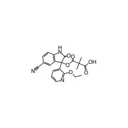 CCOc1ncccc1C1(OC(=O)C(C)(C)C(=O)O)C(=O)Nc2ccc(C#N)cc21